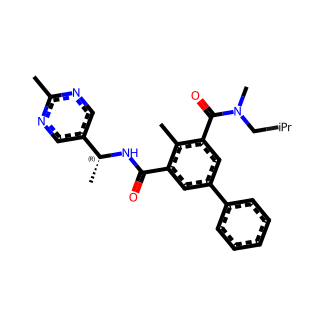 Cc1ncc([C@@H](C)NC(=O)c2cc(-c3ccccc3)cc(C(=O)N(C)CC(C)C)c2C)cn1